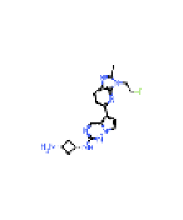 Cc1nc2ccc(-c3ccn4nc(N[C@H]5C[C@@H](N)C5)ncc34)nc2n1CCF